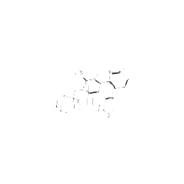 CC(C)N(C)C(=O)c1cn(CC2(O)CCNCC2)c(=O)cc1-c1ccccc1F